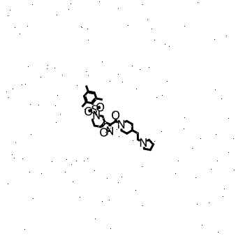 Cc1cc(C)c(S(=O)(=O)N2CCc3onc(C(=O)N4CCC(CCN5CCCC5)CC4)c3C2)c(C)c1